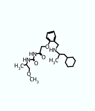 COCC(C)NC(=O)NC(=O)COc1ccccc1CNC(C)CC1CCCCC1